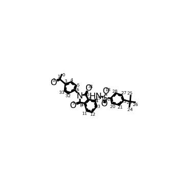 CC(=O)c1ccc(N2C(=O)c3cccc(NS(=O)(=O)c4ccc(C(C)(C)C)cc4)c3C2=O)cc1